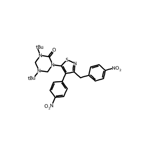 CC(C)(C)N1CN(c2snc(Cc3ccc([N+](=O)[O-])cc3)c2-c2ccc([N+](=O)[O-])cc2)C(=O)N(C(C)(C)C)C1